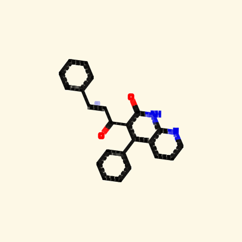 O=C(/C=C/c1ccccc1)c1c(-c2ccccc2)c2cccnc2[nH]c1=O